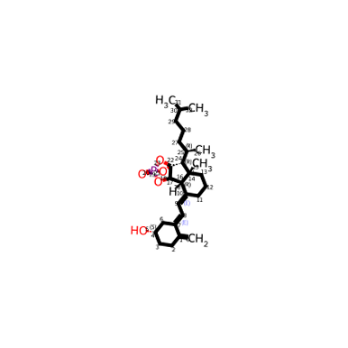 C=C1CC[C@H](O)C/C1=C\C=C1/CCC[C@]2(C)[C@H]1C1OP3(=O)OC1(O3)[C@@H]2[C@H](C)CCCC(C)C